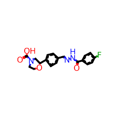 O=C(N/N=C/c1ccc(C2CN(C(=O)O)CCO2)cc1)c1ccc(F)cc1